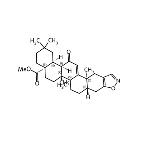 COC(=O)[C@]12CCC(C)(C)C[C@H]1[C@H]1C(=O)C=C3[C@@]4(C)Cc5cnoc5C[C@@H]4CC[C@@]3(C)[C@]1(C)CC2